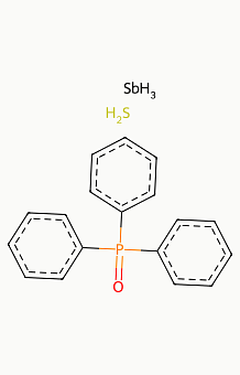 O=P(c1ccccc1)(c1ccccc1)c1ccccc1.S.[SbH3]